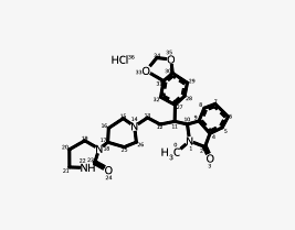 CN1C(=O)c2ccccc2C1C(CCN1CCC(N2CCCNC2=O)CC1)c1ccc2c(c1)OCO2.Cl